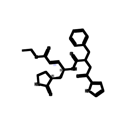 CCOC(=O)/C=C/[C@H](C[C@@H]1CCNC1=O)NC(=O)C(CC(=O)c1ccc[nH]1)Cc1ccccc1